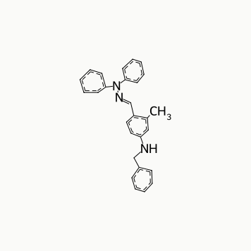 Cc1cc(NCc2ccccc2)ccc1C=NN(c1ccccc1)c1ccccc1